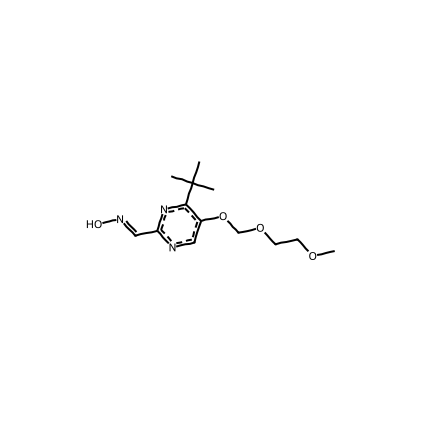 COCCOCOc1cnc(C=NO)nc1C(C)(C)C